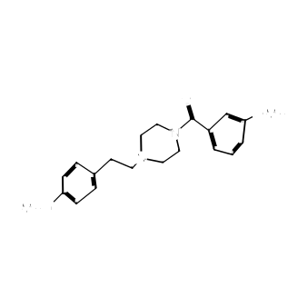 COc1ccc(CCN2CCN(C(=O)c3cccc(OC)c3)CC2)cc1